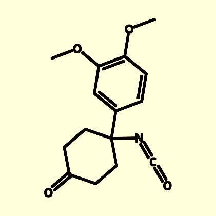 COc1ccc(C2(N=C=O)CCC(=O)CC2)cc1OC